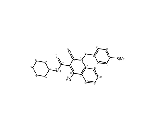 COc1ccc(Cn2c(=O)c(C(=O)NC3CCCCC3)c(O)c3ccncc32)cc1